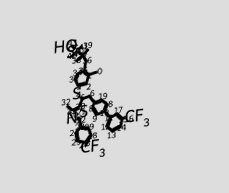 Cc1cc(SC(Cc2ccc(-c3cccc(C(F)(F)F)c3)cc2)c2sc(-c3ccc(C(F)(F)F)cc3)nc2C)ccc1CC(C)(C)[Si](C)(C)O